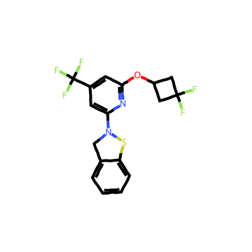 FC1(F)CC(Oc2cc(C(F)(F)F)cc(N3Cc4ccccc4S3)n2)C1